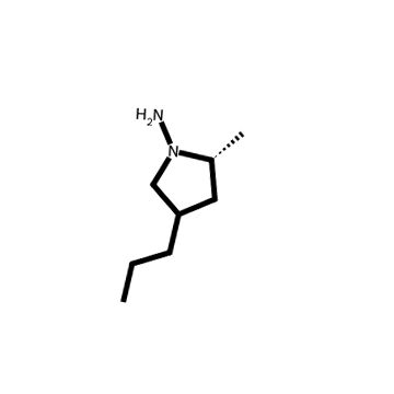 CCCC1C[C@@H](C)N(N)C1